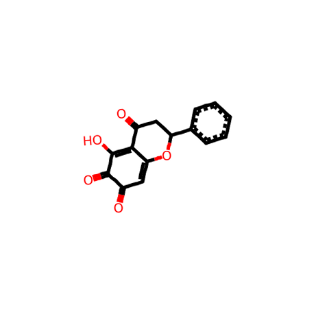 O=C1C=C2OC(c3ccccc3)CC(=O)C2=C(O)C1=O